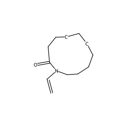 C=CN1CCCCCCCCCC1=O